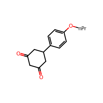 CCCOc1ccc(C2CC(=O)CC(=O)C2)cc1